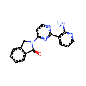 Nc1ncccc1-c1nccc(N2Cc3ccccc3C2=O)n1